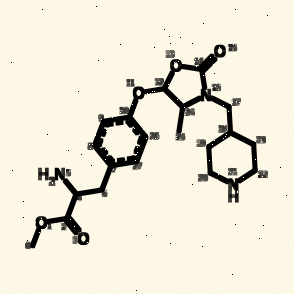 COC(=O)C(N)Cc1ccc(OC2OC(=O)N(CC3CCNCC3)C2C)cc1